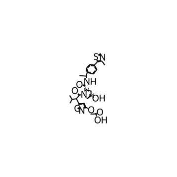 Cc1ncsc1-c1ccc(C(C)NC(=O)[C@@H]2C[C@@H](O)CN2C(=O)C(c2cc(OCC(=O)O)no2)C(C)C)cc1